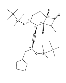 CC1C(=O)[C@H]2CC[C@@H](O[Si](C)(C)C(C)(C)C)[C@H](C#C[C@H](CC3CCCC3)O[Si](C)(C)C(C)(C)C)[C@@H]12